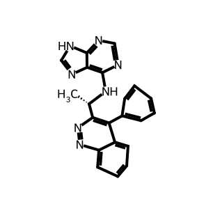 C[C@H](Nc1ncnc2[nH]cnc12)c1nnc2ccccc2c1-c1ccccc1